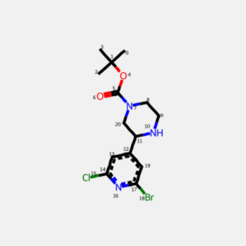 CC(C)(C)OC(=O)N1CCNC(c2cc(Cl)nc(Br)c2)C1